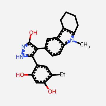 CCc1cc(-c2[nH]nc(O)c2-c2ccc3c(c2)c2c(n3C)CCCC2)c(O)cc1O